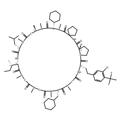 CC[C@H](C)[C@@H]1NC(=O)[C@H](CC(C)C)N(C)C(=O)C[C@@H](C)N(C)C(=O)[C@H](C2CCCCC2)N(C)C(=O)C2(CCCC2)NC(=O)[C@@H]2CCCN2C(=O)[C@H](CCc2ccc(C(F)(F)F)c(Cl)c2)NC(=O)CN(C)C(=O)[C@H](CC2CCCCC2)N(C)C(=O)CN(C)C(=O)CN(C)C1=O